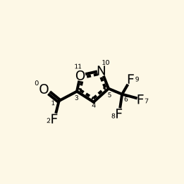 O=C(F)c1cc(C(F)(F)F)no1